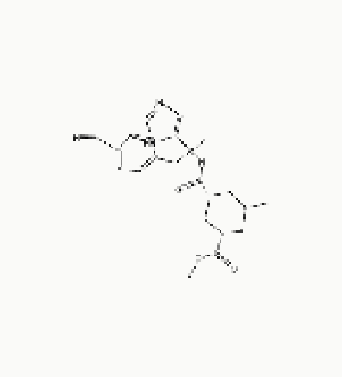 COC(=O)[C@@H]1C[C@H](C(=O)NC(C)(Cc2ccc(C#N)cc2)c2cnc[nH]2)CN(C)C1